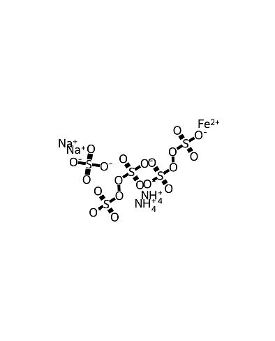 O=S(=O)([O-])OOS(=O)(=O)[O-].O=S(=O)([O-])OOS(=O)(=O)[O-].O=S(=O)([O-])[O-].[Fe+2].[NH4+].[NH4+].[Na+].[Na+]